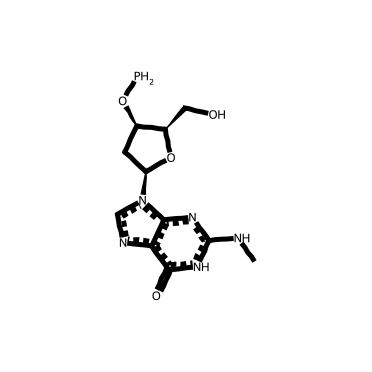 CNc1nc2c(ncn2[C@H]2C[C@@H](OP)[C@@H](CO)O2)c(=O)[nH]1